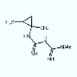 CNC(=N)NC(=N)NC1(C)CC1C